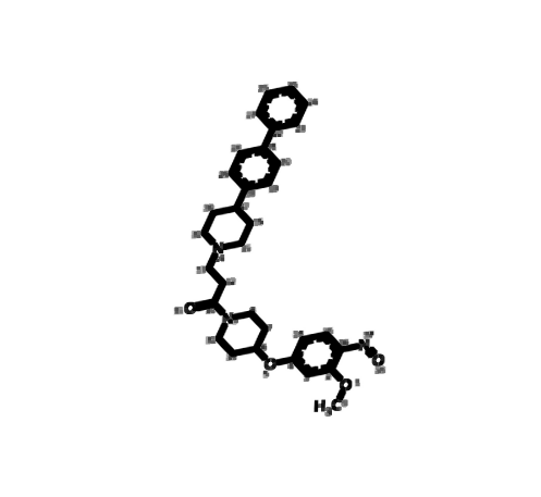 COc1cc(OC2CCN(C(=O)CCN3CCC(c4ccc(-c5ccccc5)cc4)CC3)CC2)ccc1N=O